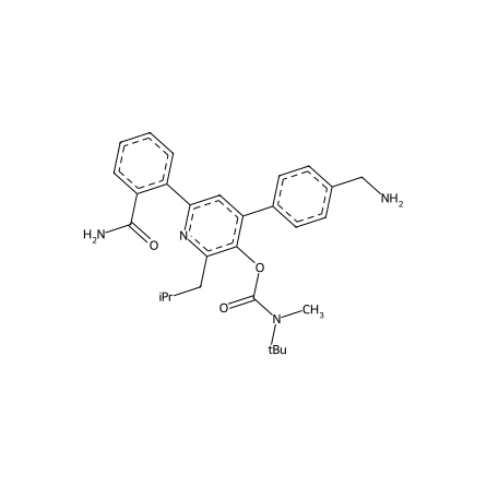 CC(C)Cc1nc(-c2ccccc2C(N)=O)cc(-c2ccc(CN)cc2)c1OC(=O)N(C)C(C)(C)C